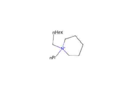 CCCCCCC[N+]1(CCC)CCCCC1